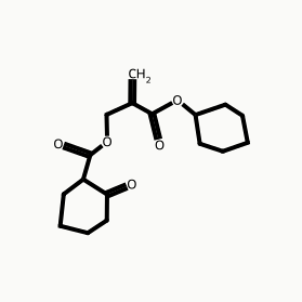 C=C(COC(=O)C1CCCCC1=O)C(=O)OC1CCCCC1